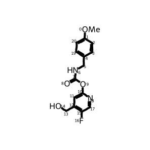 COc1ccc(CNC(=O)Oc2cc(CO)c(F)cn2)cc1